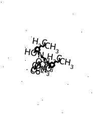 CC(=O)[O-].CC(=O)[O-].CC(C)CCc1ccc(O)c(C=NCCCN=Cc2cc(CCC(C)C)ccc2O)c1.[Co+2]